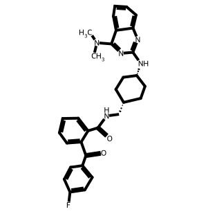 CN(C)c1nc(N[C@H]2CC[C@@H](CNC(=O)c3ccccc3C(=O)c3ccc(F)cc3)CC2)nc2ccccc12